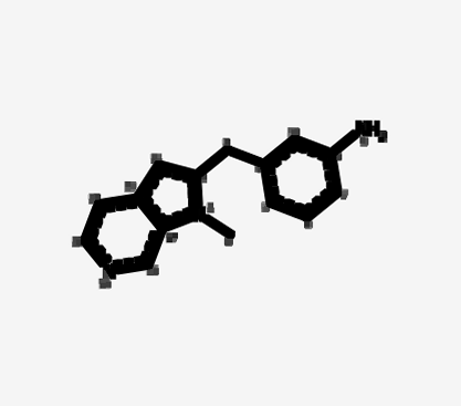 Cn1c(Cc2cccc(N)c2)cc2ccncc21